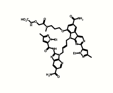 CCn1nc(C)cc1C(=O)Nc1nc2cc(C(N)=O)cnc2n1C/C=C/Cn1c2nc(-c3cc(C)nn3CC)ncc2c2cc(C(N)=O)cc(OCCCN(C)C(=O)CONC(=O)O)c21